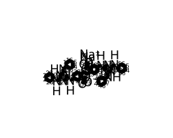 O=S(=O)([O-])c1cc(Nc2nc(Nc3ccccc3)nc(Nc3ccccc3)n2)ccc1C=Cc1ccc(Nc2nc(Nc3ccccc3)nc(Nc3ccccc3)n2)cc1S(=O)(=O)[O-].[Na+].[Na+]